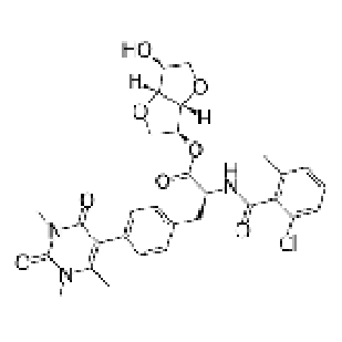 Cc1cccc(Cl)c1C(=O)N[C@@H](Cc1ccc(-c2c(C)n(C)c(=O)n(C)c2=O)cc1)C(=O)O[C@H]1CO[C@H]2[C@@H]1OC[C@@H]2O